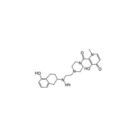 CCCN(CCN1CCN(C(=O)c2c(O)c(=O)ccn2C)CC1)C1CCc2c(O)cccc2C1